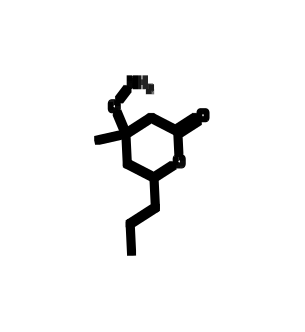 CCCC1CC(C)(ON)CC(=O)O1